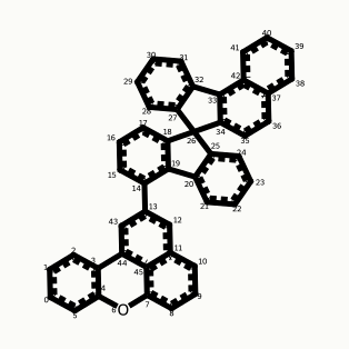 c1ccc2c(c1)Oc1cccc3cc(-c4cccc5c4-c4ccccc4C54c5ccccc5-c5c4ccc4ccccc54)cc-2c13